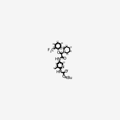 Cc1cc(NC(=O)C(=O)N2CCCC[C@H]2c2cccc(C(F)(F)F)c2)cnc1NC(=O)OC(C)(C)C